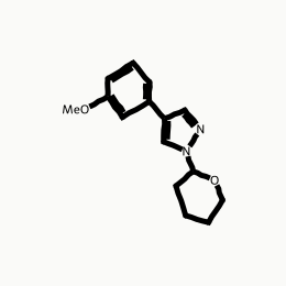 COc1cccc(-c2cnn(C3CCCCO3)c2)c1